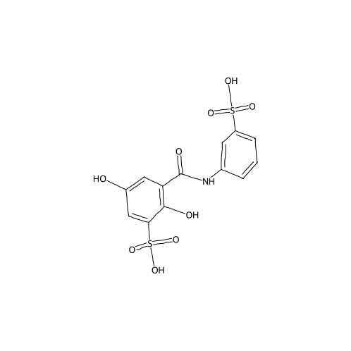 O=C(Nc1cccc(S(=O)(=O)O)c1)c1cc(O)cc(S(=O)(=O)O)c1O